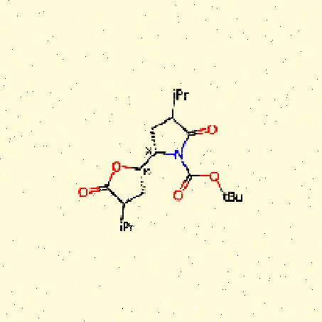 CC(C)C1C[C@@H]([C@@H]2CC(C(C)C)C(=O)N2C(=O)OC(C)(C)C)OC1=O